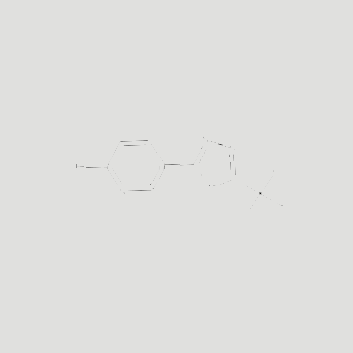 FC(F)(F)c1nnc(-c2ccc(Cl)nc2)[nH]1